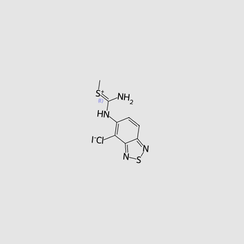 C/[S+]=C(\N)Nc1ccc2nsnc2c1Cl.[I-]